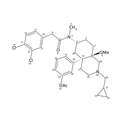 CO[C@]12CC[C@@H](N(C)C(=O)Cc3ccc(Cl)c(Cl)c3)C[C@]1(c1cccc(OC(C)=O)c1)CCN(CC1CC1)C2